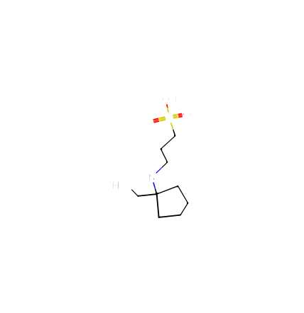 CCC1(NCCCS(=O)(=O)O)CCCC1